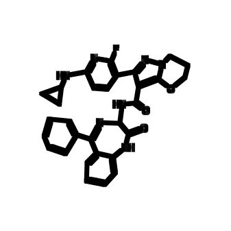 O=C(NC1N=C(c2ccccc2)c2ccccc2NC1=O)c1c(-c2ccc(NC3CC3)nc2F)nn2c1OCCC2